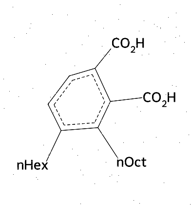 CCCCCCCCc1c(CCCCCC)ccc(C(=O)O)c1C(=O)O